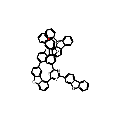 c1ccc(-n2c3ccccc3c3ccc4c5cc(-c6ccc7oc8cccc(-c9nc(-c%10ccc%11c(c%10)oc%10ccccc%10%11)nc(-c%10ccc%11c(c%10)oc%10ccccc%10%11)n9)c8c7c6)ccc5n(-c5ccccc5)c4c32)cc1